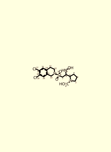 O=C(O)N1CCCC1C(CS(=O)(=O)N1CCc2cc(Cl)c(Cl)cc2C1)NO